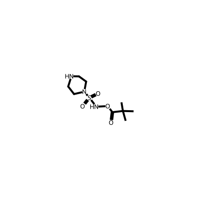 CC(C)(C)C(=O)ONS(=O)(=O)N1CCNCC1